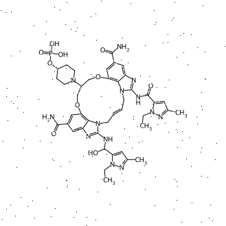 CCn1nc(C)cc1C(=O)Nc1nc2cc(C(N)=O)cc3c2n1C/C=C/Cn1c(NC(O)c2cc(C)nn2CC)nc2cc(C(N)=O)cc(c21)OCC(N1CCC(OP(=O)(O)O)CC1)CO3